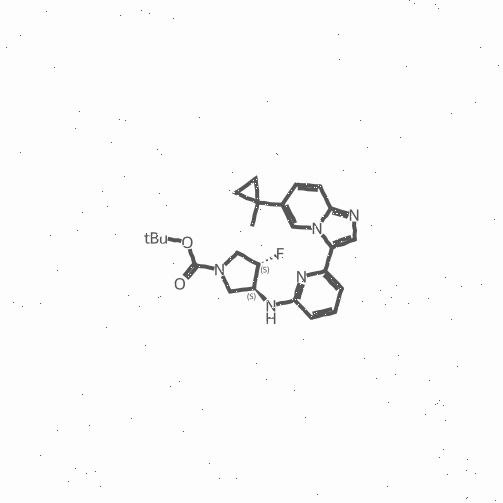 CC(C)(C)OC(=O)N1C[C@H](Nc2cccc(-c3cnc4ccc(C5(C)CC5)cn34)n2)[C@@H](F)C1